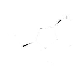 N[C@@H]1C[C@H](CO)[C@@H](O)[C@H]1F